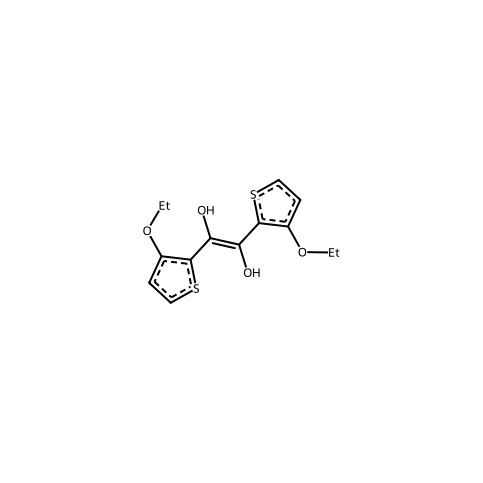 CCOc1ccsc1/C(O)=C(\O)c1sccc1OCC